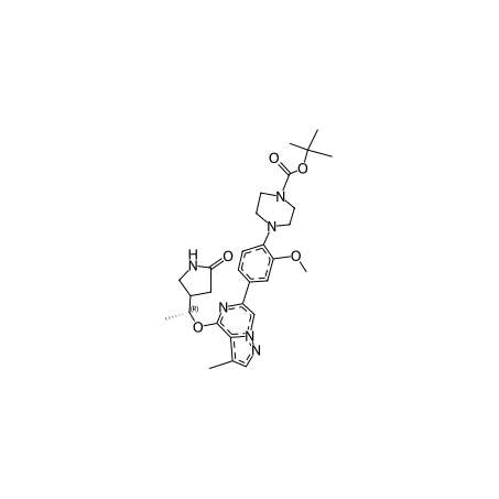 COc1cc(-c2cn3ncc(C)c3c(O[C@H](C)C3CNC(=O)C3)n2)ccc1N1CCN(C(=O)OC(C)(C)C)CC1